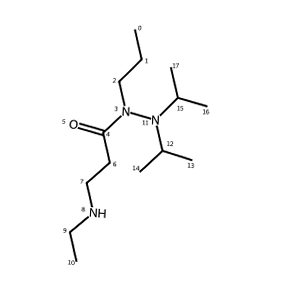 CCCN(C(=O)CCNCC)N(C(C)C)C(C)C